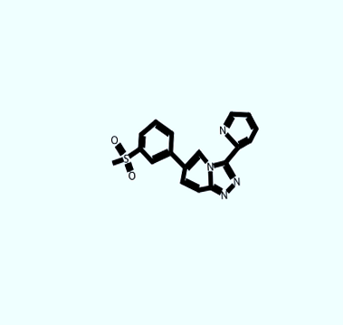 CS(=O)(=O)c1cccc(-c2ccc3nnc(-c4ccccn4)n3c2)c1